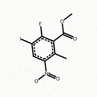 COC(=O)c1c(C)c([N+](=O)[O-])cc(I)c1F